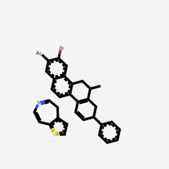 C1=Cc2sccc2CC=N1.CC(=O)c1cc2ccc3c(c2cc1Br)CC(C)C1=C3C=CC(c2ccccc2)C1